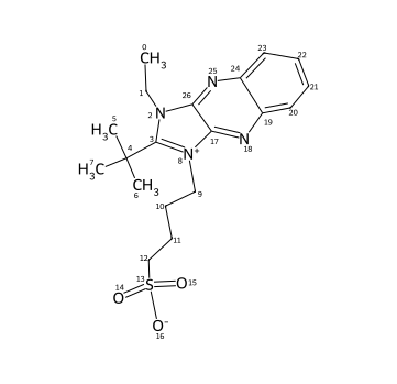 CCn1c(C(C)(C)C)[n+](CCCCS(=O)(=O)[O-])c2nc3ccccc3nc21